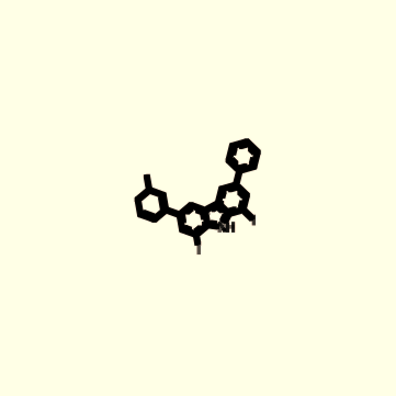 CC1C=C(c2cc(I)c3[nH]c4c(I)cc(-c5ccccc5)cc4c3c2)C=CC1